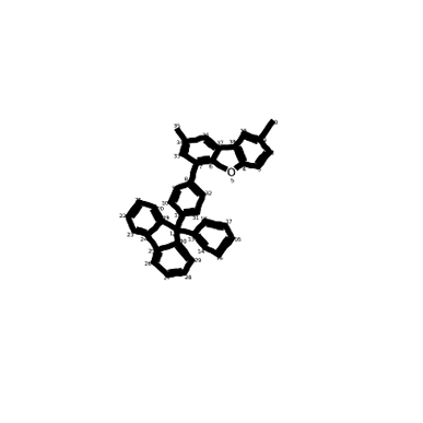 Cc1ccc2oc3c(-c4ccc(C5(c6ccccc6)c6ccccc6-c6ccccc65)cc4)cc(C)cc3c2c1